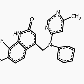 Cc1cc(N(Cc2cc(=O)[nH]c3c(F)c(F)ccc23)c2ccccc2)ncn1